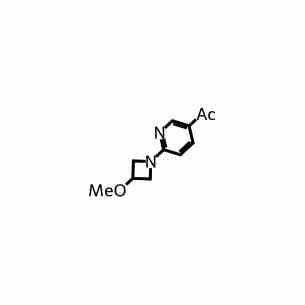 COC1CN(c2ccc(C(C)=O)cn2)C1